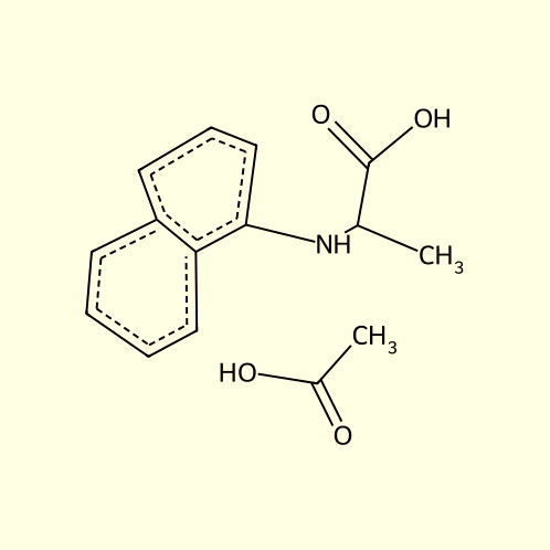 CC(=O)O.CC(Nc1cccc2ccccc12)C(=O)O